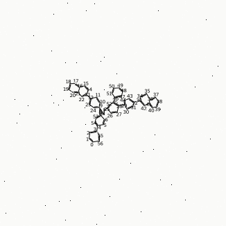 c1ccc(-c2ccc(N(c3ccc(-c4ccc5ccccc5c4)cc3)c3ccc(-c4ccc(-c5ccc6ccccc6c5)cc4)c(-c4ccccc4)c3)cc2)cc1